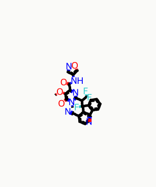 COc1c(C(=O)Nc2cnoc2)nc(C(C(F)F)C(F)(c2ccccc2C#N)c2ccccc2C#N)n(C)c1=O